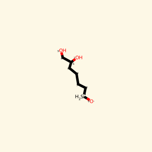 [O][SiH2]CCCCC(O)CO